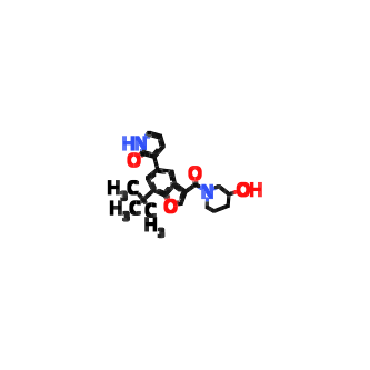 CC(C)(C)c1cc(-c2ccc[nH]c2=O)cc2c(C(=O)N3CCCC(O)C3)coc12